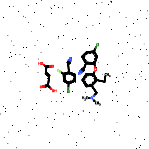 CCc1c(CN(C)C)cccc1Oc1cc(Cl)ccc1C#N.N#Cc1ccc(Cl)cc1F.O=C(O)C=CC(=O)O